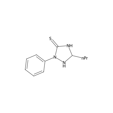 CCCC1NC(=S)N(c2ccccc2)N1